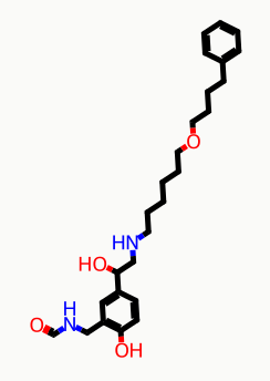 O=CNCc1cc(C(O)CNCCCCCCOCCCCc2ccccc2)ccc1O